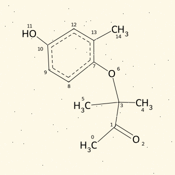 CC(=O)C(C)(C)Oc1ccc(O)cc1C